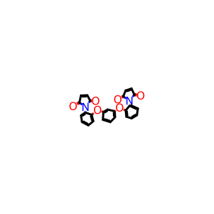 O=C1C=CC(=O)N1c1ccccc1Oc1cccc(Oc2ccccc2N2C(=O)C=CC2=O)c1